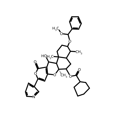 COC(OC1CCC2(C)C(CC(OC(=O)C3CCCCC3)[C@@]3(C)Oc4cc(-c5cccnc5)oc(=O)c4C(O)C23)C1C)c1ccccc1